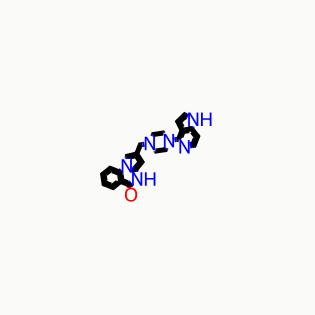 O=c1[nH]c2cc(CN3CCN(c4nccc5[nH]ccc45)CC3)cn2c2ccccc12